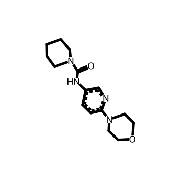 O=C(Nc1ccc(N2CCOCC2)nc1)N1CCCCC1